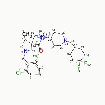 CC1CN(Cc2c(Cl)cccc2Cl)CC1(CC(=O)O)C(=O)NC1CCN(CC2CCC(F)(F)CC2)CC1